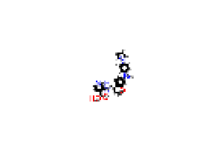 CN(c1ccc(N2CCCC2)cc1)c1ccc2c(c1)OCC[C@H]2CNc1cnccc1C(=O)O